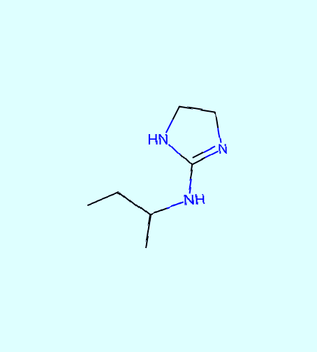 CCC(C)NC1=NCCN1